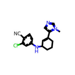 Cn1cncc1C1=CC(Nc2ccc(C#N)c(Cl)c2)CCC1